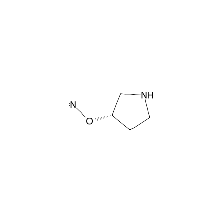 [N]O[C@H]1CCNC1